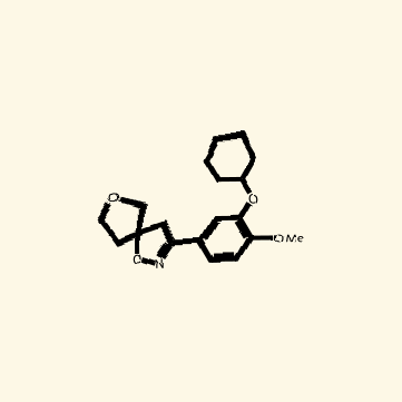 COc1ccc(C2=NOC3(CCOC3)C2)cc1OC1CCCCC1